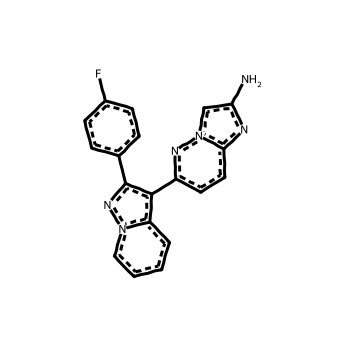 Nc1cn2nc(-c3c(-c4ccc(F)cc4)nn4ccccc34)ccc2n1